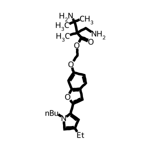 CCCCn1cc(CC)cc1-c1cc2ccc(OCOC(=O)C(C)(CN)C(C)(C)N)cc2o1